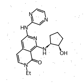 CCn1ccc2cc(Nc3cnccn3)nc(N[C@H]3CCC[C@H]3O)c2c1=O